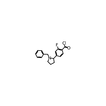 O=C(Cl)c1ccc(C2CCCN2Cc2ccccc2)cc1F